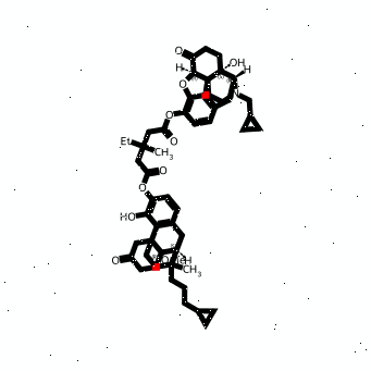 CCC(C)(CC(=O)Oc1ccc2c(c1O)C13CCC(C)(CCCC4CC4)[C@H](C2)[C@]1(OC)CCC(=O)C3)CC(=O)Oc1ccc2c3c1O[C@H]1C(=O)CC[C@@]4(O)[C@@H](C2)N(CC2CC2)CCC314